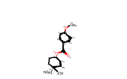 CCCCCC[C@]1(C#N)CC[C@H](OC(=O)c2ccc(OCCCC)cc2)CC1